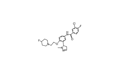 CN1N=CCC1c1cc(NC(=O)c2ccc(F)c(Cl)c2)ccc1OCCN1CCC(F)CC1